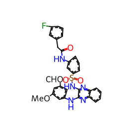 COc1cc(C=O)cc(Nc2nc3ccccc3nc2NS(=O)(=O)c2cccc(NC(=O)Cc3cccc(F)c3)c2)c1